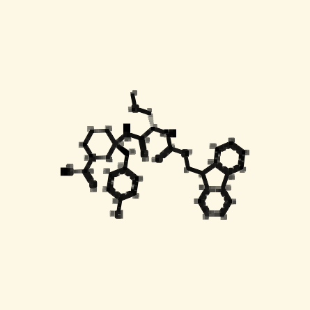 COC[C@H](NC(=O)OCC1c2ccccc2-c2ccccc21)C(=O)N[C@@]1(Cc2ccc(Cl)cc2)CCCN(C(=O)O)C1